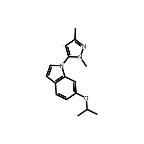 Cc1[c]c(-n2ccc3ccc(OC(C)C)cc32)n(C)n1